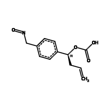 C=CC[C@H](OC(=O)O)c1ccc(CN=O)cc1